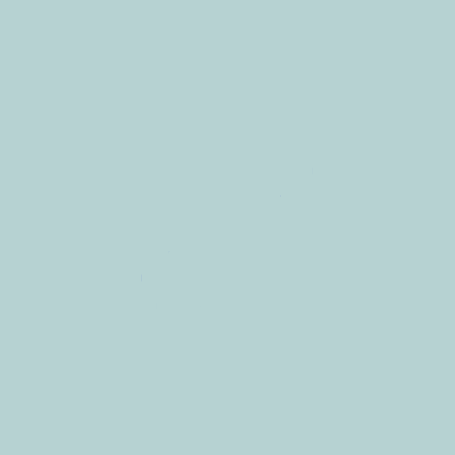 CCCCCC(=O)O.CCCCCCC(CC(O)CO)C(=O)O